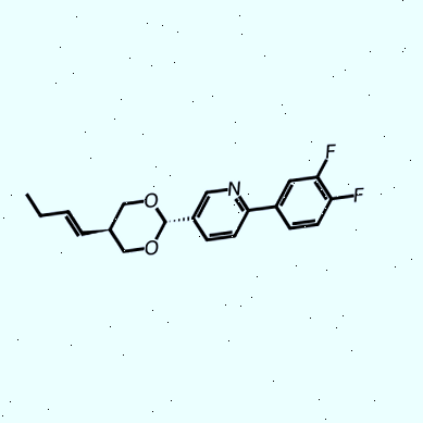 CCC=C[C@H]1CO[C@H](c2ccc(-c3ccc(F)c(F)c3)nc2)OC1